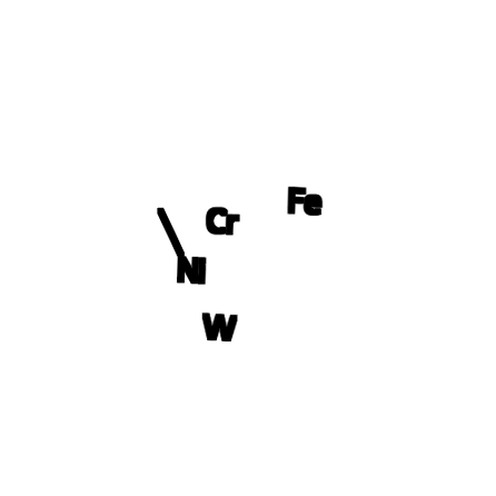 [CH3][Ni].[Cr].[Fe].[W]